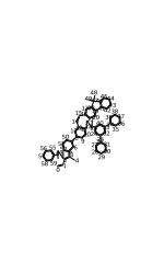 C=Cc1c(C)c2cc(-c3ccc4c(c3)C=Cc3cc5c(cc3N4c3cc(-c4ccccc4)cc(-c4ccccc4)c3)-c3ccccc3C5(C)C)ccc2n1-c1ccccc1